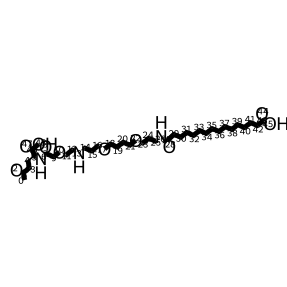 CC(=O)CC[C@H](NC(=O)COCCNCCCOCCCCOCCCNC(=O)CCCCCCCCCCCCCCC(=O)O)C(=O)O